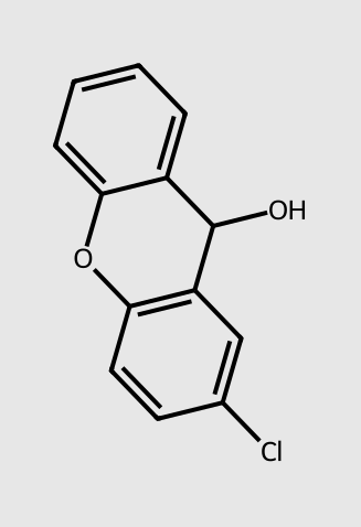 OC1c2ccccc2Oc2ccc(Cl)cc21